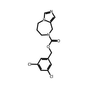 O=C(OCc1cc(Cl)cc(Cl)c1)N1CCCn2cncc2C1